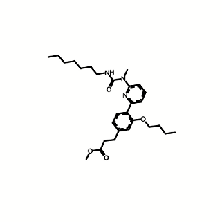 CCCCCCCNC(=O)N(C)c1cccc(-c2ccc(CCC(=O)OC)cc2OCCCC)n1